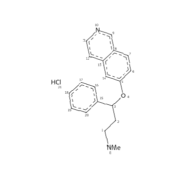 CNCCC(Oc1ccc2cnccc2c1)c1ccccc1.Cl